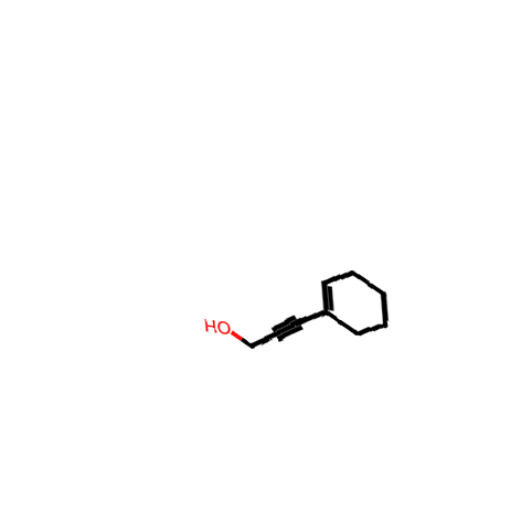 OCC#CC1=CCCCC1